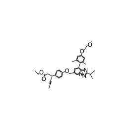 CC#C[C@@H](CC(=O)OCC)c1ccc(OCc2cc(-c3c(C)cc(OCCOC)cc3C)c3nc(C(C)C)nn3c2)cc1